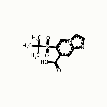 CC(C)(C)S(=O)(=O)c1cn2ccnc2cc1C(=O)O